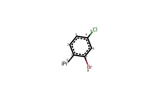 CC(C)c1ccc(Cl)cc1Br